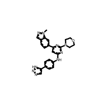 Cn1ncc2ccc(-c3cc(Nc4ccc(-c5cnn[nH]5)cc4)nc(N4CCOCC4)n3)cc21